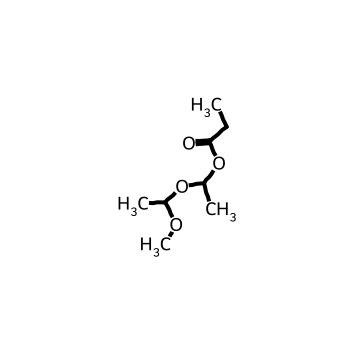 CCC(=O)OC(C)OC(C)OC